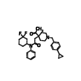 CC(=O)C1(CC(=O)N(c2ccccc2)C2CCCC(F)(F)C2)CCN(Cc2ccc(C3CC3)cc2)CC1